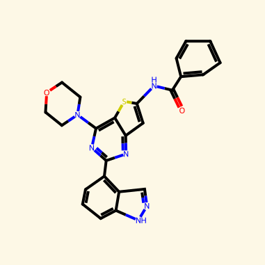 O=C(Nc1cc2nc(-c3cccc4[nH]ncc34)nc(N3CCOCC3)c2s1)c1ccccc1